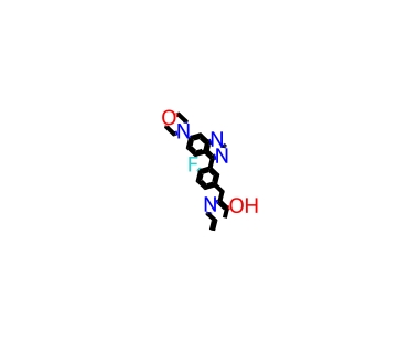 C=C/C=N\C(Cc1ccc(F)c(-c2ncnc3cc(N4CCOCC4)ccc23)c1)=C(/C)O